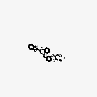 CCC(Oc1cccc(CNCC(Oc2ccccc2)c2nc3ccccc3s2)c1)C(=O)O